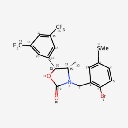 CSc1ccc(Br)c(CN2C(=O)O[C@H](c3cc(C(F)(F)F)cc(C(F)(F)F)c3)[C@@H]2C)c1